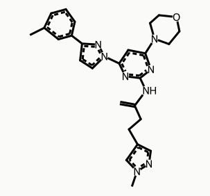 C=C(CCc1cnn(C)c1)Nc1nc(N2CCOCC2)cc(-n2ccc(-c3cccc(C)c3)n2)n1